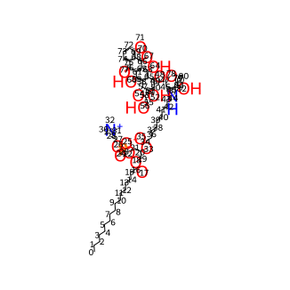 CCCCCCCCCCCCCCCCC(=O)OCC(COP(=O)([O-])OCC[N+](C)(C)C)OC(=O)CCCCCCCCN[C@H]1CC(O[C@H]2C[C@](O)(C(=O)CO)Cc3c(O)c4c(c(O)c32)C(=O)c2c(OC)cccc2C4=O)O[C@@H](C)[C@H]1O